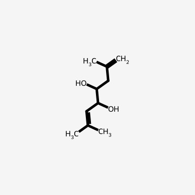 C=C(C)CC(O)C(O)C=C(C)C